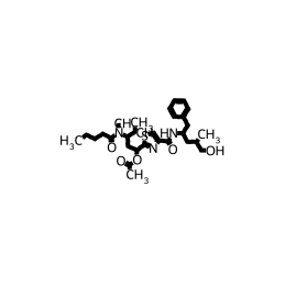 CCCCC(=O)N(C)C(CC(OC(C)=O)c1nc(C(=O)NC(Cc2ccccc2)CC(C)CO)cs1)C(C)C